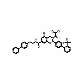 O=C(O)C(=O)N(Cc1ccc(-c2ccccc2C(F)(F)F)cc1)Cc1c(Br)cc(C(=O)NCCc2ccc(-c3ccccc3)cc2)cc1Br